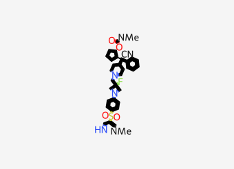 CN/C=C(\C=N)S(=O)(=O)c1ccc(N2CC(F)(CN3CCC(C(C#N)(c4ccccc4)[C@H]4CCC[C@@H]4OC(=O)NC)CC3)C2)cc1